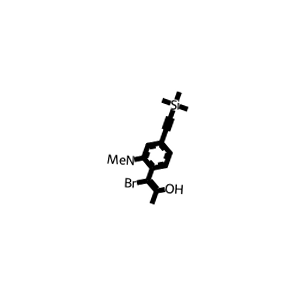 CNc1cc(C#C[Si](C)(C)C)ccc1C(Br)=C(C)O